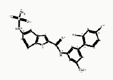 COc1cc(NC(=O)c2cc3cc(NS(C)(=O)=O)ccc3s2)cc(-c2ccc(F)cc2F)c1